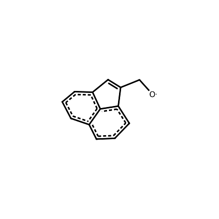 [O]CC1=Cc2cccc3cccc1c23